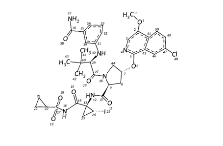 COc1cnc(O[C@@H]2C[C@@H](C(=O)N[C@]3(C(=O)NS(=O)(=O)C4CC4)C[C@H]3I)N(C(=O)[C@H](Nc3cccc(C(N)=O)c3)C(C)(C)C)C2)c2cc(Cl)ccc12